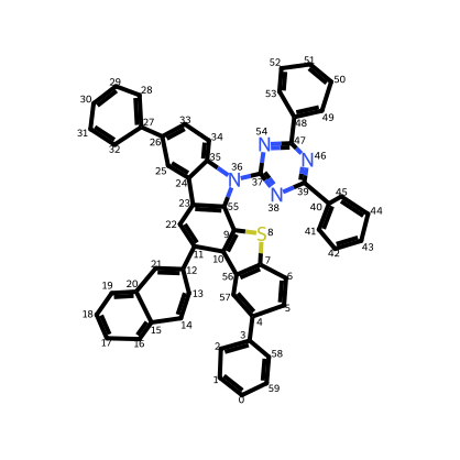 c1ccc(-c2ccc3sc4c(c(-c5ccc6ccccc6c5)cc5c6cc(-c7ccccc7)ccc6n(-c6nc(-c7ccccc7)nc(-c7ccccc7)n6)c54)c3c2)cc1